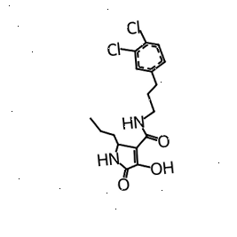 CCCC1NC(=O)C(O)=C1C(=O)NCCCc1ccc(Cl)c(Cl)c1